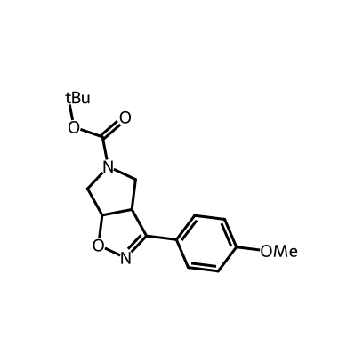 COc1ccc(C2=NOC3CN(C(=O)OC(C)(C)C)CC23)cc1